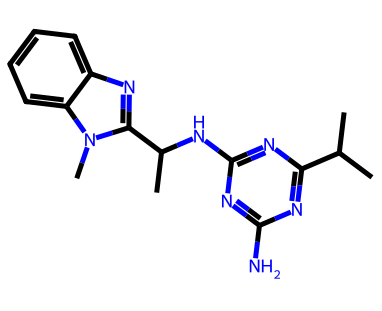 CC(C)c1nc(N)nc(NC(C)c2nc3ccccc3n2C)n1